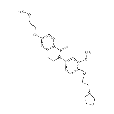 COCCOc1ccc2c(c1)CCN(c1ccc(OCCN3CCCC3)c(OC)c1)C2=O